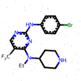 CCN(c1nc(Nc2ccc(Br)cc2)ncc1C(F)(F)F)C1CCNCC1